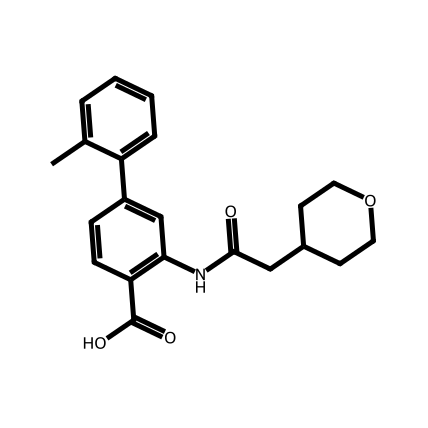 Cc1ccccc1-c1ccc(C(=O)O)c(NC(=O)CC2CCOCC2)c1